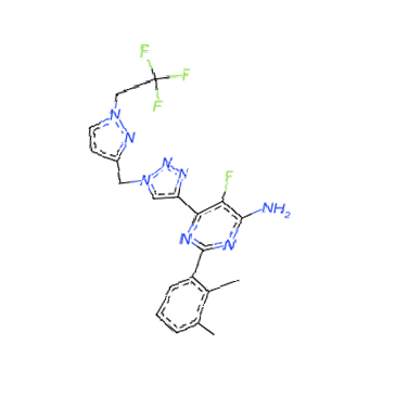 Cc1cccc(-c2nc(N)c(F)c(-c3cn(Cc4ccn(CC(F)(F)F)n4)nn3)n2)c1C